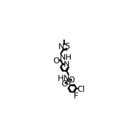 Cc1nc(CNC(=O)c2ccc(CNS(=O)(=O)c3ccc(F)c(Cl)c3)cn2)cs1